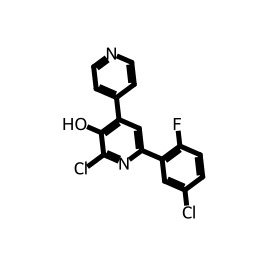 Oc1c(-c2ccncc2)cc(-c2cc(Cl)ccc2F)nc1Cl